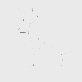 C[C@@]12COC(=O)OCCCOC(=O)O[C@H]1C[C@H](n1cnc3c(N)nc(F)nc31)O2